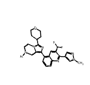 CC(=O)N1CCn2c(C3CCOCC3)nc(-c3cccc4nc(-c5cnn(C)c5)c(C(F)F)cc34)c2C1